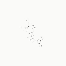 CC(C)C[C@H](NC(=O)CNC(=O)[C@H](C)NC(=O)[C@H](CC(C)C)NC(=O)[C@@H](N)CC(C)C)C(=O)NC(=O)c1cc([N+](=O)[O-])cc([N+](=O)[O-])c1